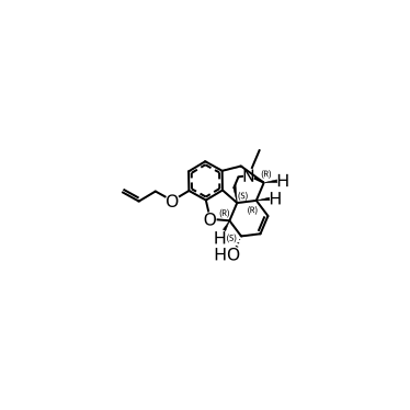 C=CCOc1ccc2c3c1O[C@H]1[C@@H](O)C=C[C@H]4[C@@H](C2)N(C)CC[C@@]341